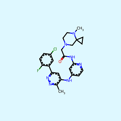 Cc1nnc(-c2cc(Cl)ccc2F)cc1Nc1ccnc(NC(=O)CN2CCN(C)C3(CC3)C2)c1